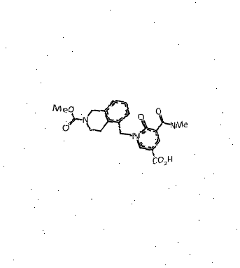 CNC(=O)c1cc(C(=O)O)cn(Cc2cccc3c2CCN(C(=O)OC)C3)c1=O